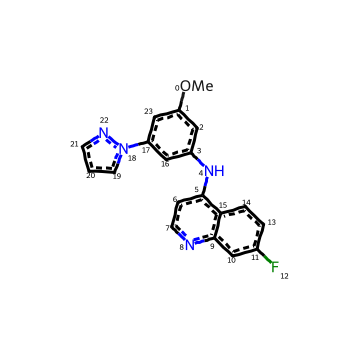 COc1cc(Nc2ccnc3cc(F)ccc23)cc(-n2cccn2)c1